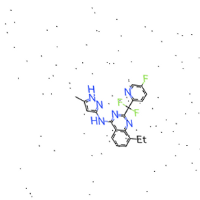 CCc1cccc2c(Nc3cc(C)[nH]n3)nc(C(F)(F)c3ccc(F)cn3)nc12